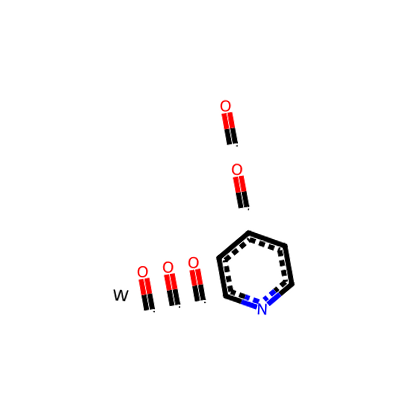 [C]=O.[C]=O.[C]=O.[C]=O.[C]=O.[W].c1ccncc1